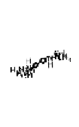 CN(C)CCNCc1ccc(-c2ccc(C(=O)N[C@@H](CN)C(=O)NO)cc2)cc1